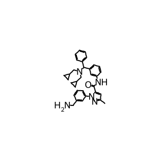 Cc1cc(C(=O)Nc2cccc(C(c3ccccc3)N(CC3CC3)CC3CC3)c2)n(-c2cccc(CN)c2)n1